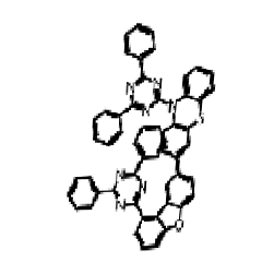 c1ccc(-c2nc(-c3ccccc3)nc(-c3cccc4oc5ccc(-c6ccc7c(c6)Sc6ccccc6N7c6nc(-c7ccccc7)nc(-c7ccccc7)n6)cc5c34)n2)cc1